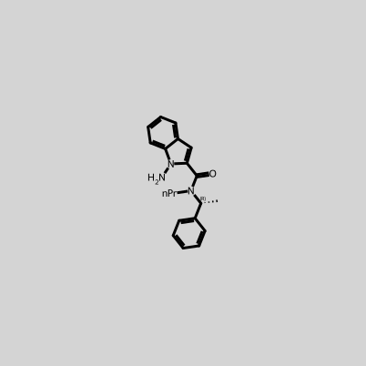 CCCN(C(=O)c1cc2ccccc2n1N)[C@H](C)c1ccccc1